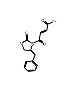 O=C(O)C=CC(=O)N1C(=O)OCC1Cc1ccccc1